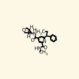 CCC(c1ccccc1)c1cc(C(=O)N[C@H]2[C@@H]3COC[C@@H]32)cc(C(=O)NC)n1